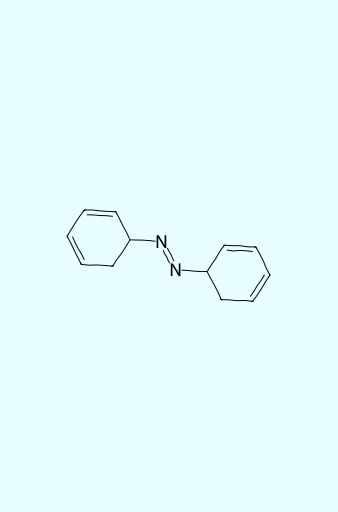 C1=CCC(/N=N/C2C=CC=CC2)C=C1